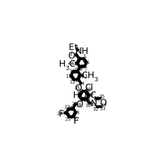 CCNC(=O)c1cccc(-c2cccc(COc3cc(OCc4cc(F)cc(F)c4)c(CN4CCOC[C@H]4C(=O)O)cc3Cl)c2C)c1C